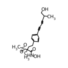 CC(C#CC#Cc1ccc(CCC(C)(C(=O)NO)S(C)(=O)=O)cc1)CO